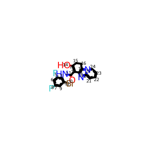 O=C(Nc1c(F)cc(F)cc1Br)C1=C(O)CCc2c1nc1ccccn21